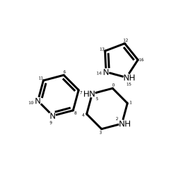 C1CNCCN1.c1ccnnc1.c1cn[nH]c1